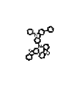 c1ccc(-c2ccc3c(c2)c2cc(N(c4ccc5c(c4)sc4ccccc45)c4cccc5oc6ccccc6c45)ccc2n3-c2ccccc2)cc1